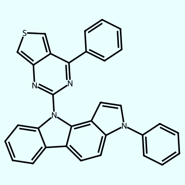 c1ccc(-c2nc(-n3c4ccccc4c4ccc5c(ccn5-c5ccccc5)c43)nc3cscc23)cc1